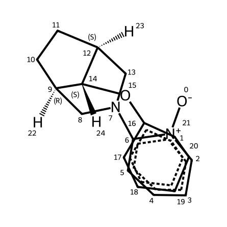 [O-][n+]1ccccc1N1C[C@H]2CC[C@@H](C1)[C@@H]2Oc1ccccc1